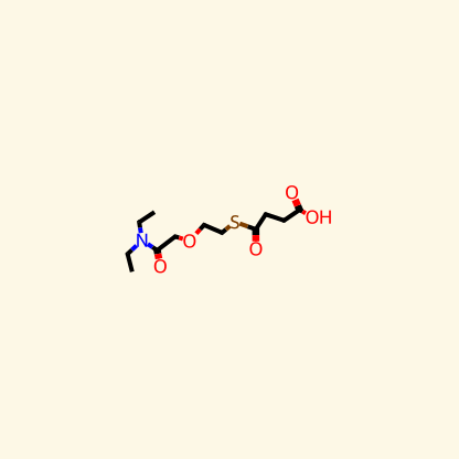 CCN(CC)C(=O)COCCSC(=O)CCC(=O)O